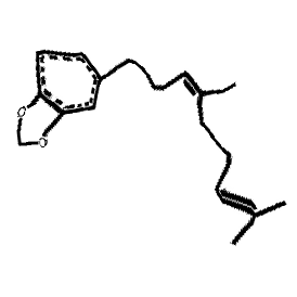 CC(C)=CCCC(C)=CCCc1ccc2c(c1)OCO2